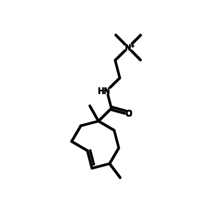 CC1/C=C/CCC(C)(C(=O)NCC[N+](C)(C)C)CC1